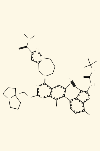 Cc1cc2c(N3CCCn4nc(C(=O)N(C)C)cc4C3)nc(OC[C@@]34CCCN3C[C@H](F)C4)nc2c(F)c1-c1ccc(F)c2sc(NC(=O)OC(C)(C)C)c(C#N)c12